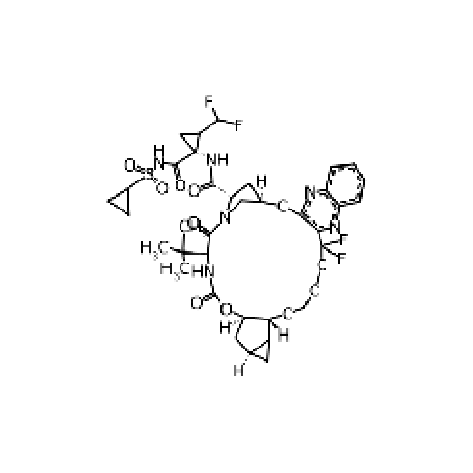 CC(C)(C)[C@@H]1NC(=O)O[C@@H]2C[C@@H]3CC3[C@H]2CCCCC(F)(F)c2nc3ccccc3nc2C[C@@H]2C[C@@H](C(=O)N[C@]3(C(=O)NS(=O)(=O)C4CC4)CC3C(F)F)N(C2)C1=O